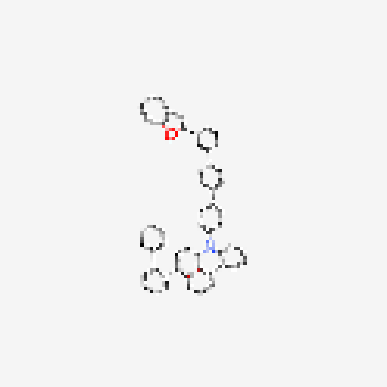 c1ccc(-c2ccccc2-c2ccc(N(c3ccc(-c4ccc(-c5cccc(-c6cc7ccccc7o6)c5)cc4)cc3)c3ccccc3-c3ccccc3)cc2)cc1